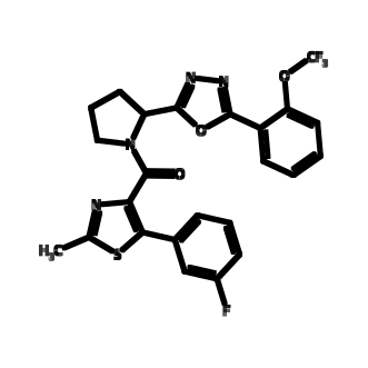 Cc1nc(C(=O)N2CCCC2c2nnc(-c3ccccc3OC(F)(F)F)o2)c(-c2cccc(F)c2)s1